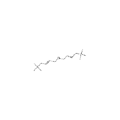 CC(C)(C)CC=CCOCC=CCC(C)(C)C